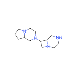 C1CC2CN(C3CN4CCNCC34)CCN2C1